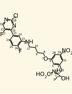 C[SH](O)(Cc1cc(OCCCCNc2cc(-c3nc(Cl)ncc3F)ccc2F)cc([N+](=O)[O-])c1)=NC(=O)O